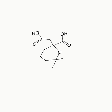 CC1(C)CCCC(CC(=O)O)(C(=O)O)O1